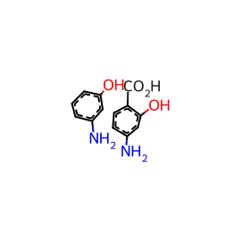 Nc1ccc(C(=O)O)c(O)c1.Nc1cccc(O)c1